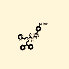 CC(=O)Nc1ccc(-c2nsc(NC(=O)N(CCc3ncccn3)CCC(c3ccccc3)c3ccccc3)n2)cc1